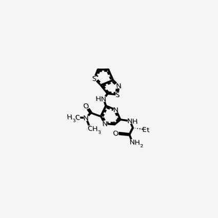 CC[C@@H](Nc1cnc(C(=O)N(C)C)c(Nc2snc3ccsc23)n1)C(N)=O